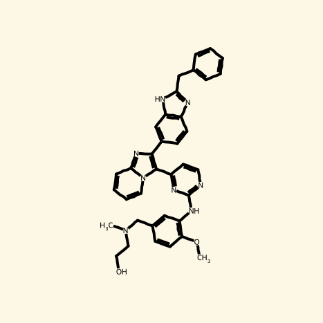 COc1ccc(CN(C)CCO)cc1Nc1nccc(-c2c(-c3ccc4nc(Cc5ccccc5)[nH]c4c3)nc3ccccn23)n1